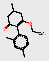 COCOC1=C(c2ccc(C)cc2C)C(=O)CC(C)C1